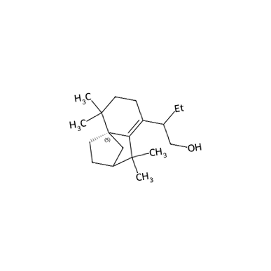 CCC(CO)C1=C2C(C)(C)C3CC[C@]2(C3)C(C)(C)CC1